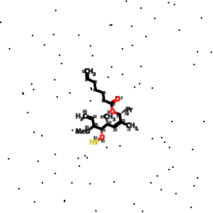 C=CCCCCC(=O)O[C@@H](/C(C)=C\[C@@H](C)[C@H](OS)C(C=C)OC)C(C)C